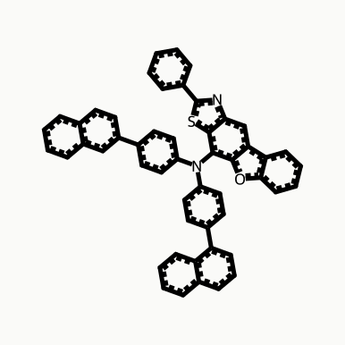 c1ccc(-c2nc3cc4c(oc5ccccc54)c(N(c4ccc(-c5ccc6ccccc6c5)cc4)c4ccc(-c5cccc6ccccc56)cc4)c3s2)cc1